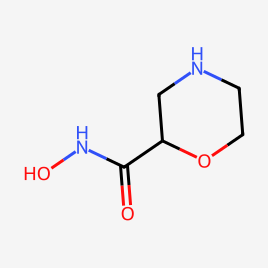 O=C(NO)C1CNCCO1